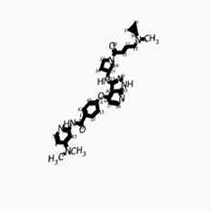 CN(C)c1ccnc(NC(=O)c2ccc(Oc3ccnc4[nH]nc(NC5CCN(C(=O)C=CCN(C)C6CC6)C5)c34)cc2)c1